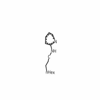 CCCCCCCCCNc1ccccn1